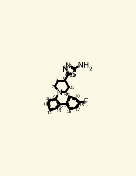 Nc1nnc(C2CCN(c3ccccc3-c3ccc(F)cc3)CC2)s1